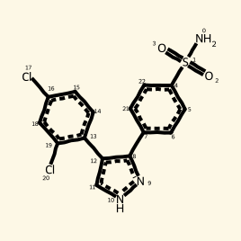 NS(=O)(=O)c1ccc(-c2n[nH]cc2-c2ccc(Cl)cc2Cl)cc1